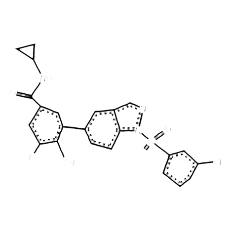 Cc1c(F)cc(C(=O)NC2CC2)cc1-c1ccc2c(cnn2S(=O)(=O)c2cccc(Cl)c2)c1